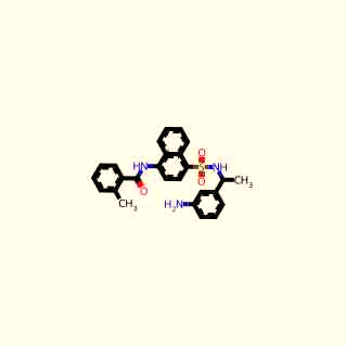 Cc1ccccc1C(=O)Nc1ccc(S(=O)(=O)NC(C)c2cccc(N)c2)c2ccccc12